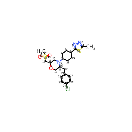 Cc1nnc(C2CCC(N3C[C@H](CS(C)(=O)=O)OC[C@@H]3Cc3ccc(Cl)cc3)CC2)s1